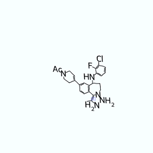 CC(=O)N1CC=C(c2ccc3c(c2)C(Nc2cccc(Cl)c2F)CCN(N)/C3=C(/C)N)CC1